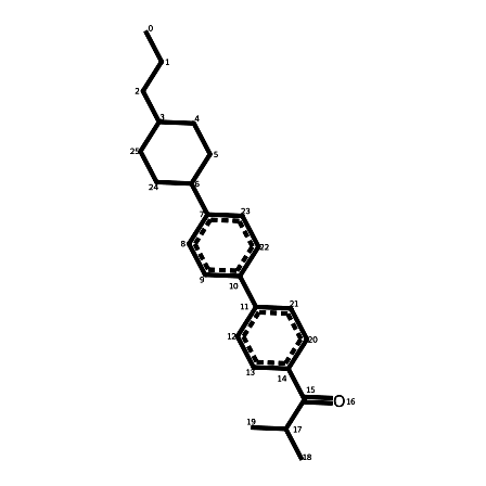 CCCC1CCC(c2ccc(-c3ccc(C(=O)C(C)C)cc3)cc2)CC1